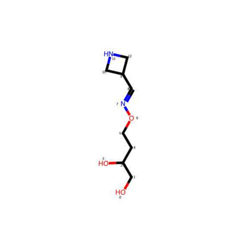 OCC(O)CCON=CC1CNC1